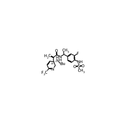 C=C(C(=O)NC(C)c1ccc(NS(C)(=O)=O)c(F)c1)[C@]1(NC(C)CC)C=CC(C(F)(F)F)=NC1